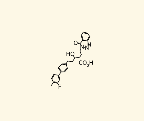 Cc1ccc(-c2ccc(CC[C@@H](O)[C@H](CCn3nnc4ccccc4c3=O)C(=O)O)cc2)cc1F